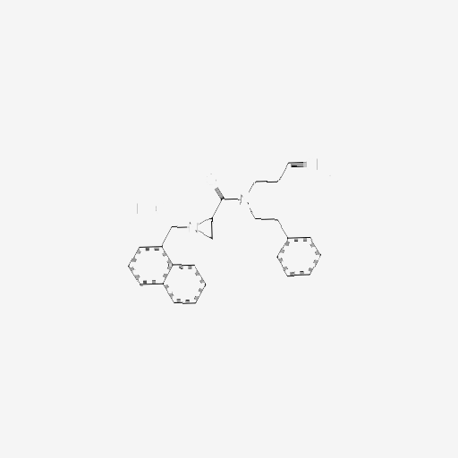 C=CCCN(CCc1ccccc1)C(=O)C1CN1[C@@H](C)c1cccc2ccccc12